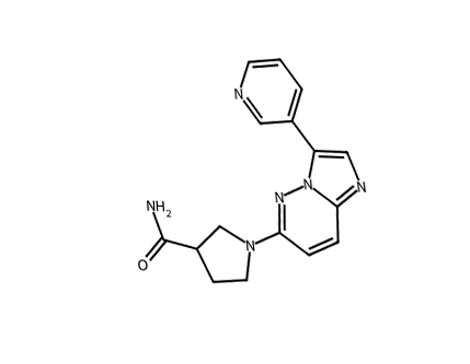 NC(=O)C1CCN(c2ccc3ncc(-c4cccnc4)n3n2)C1